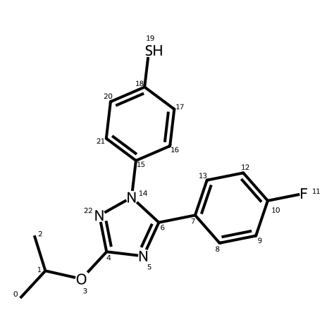 CC(C)Oc1nc(-c2ccc(F)cc2)n(-c2ccc(S)cc2)n1